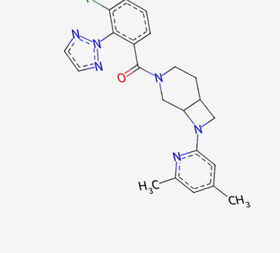 Cc1cc(C)nc(N2CC3CCN(C(=O)c4cccc(F)c4-n4nccn4)CC32)c1